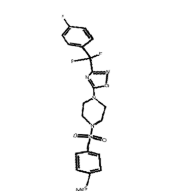 CSc1ccc(S(=O)(=O)N2CCN(c3nc(C(F)(F)c4ccc(F)cc4)no3)CC2)cc1